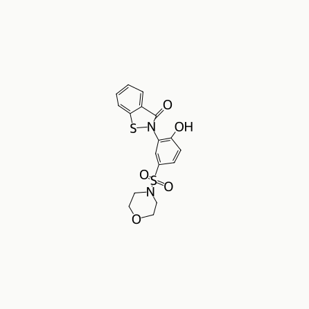 O=c1c2ccccc2sn1-c1cc(S(=O)(=O)N2CCOCC2)ccc1O